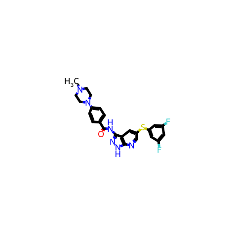 CN1CCN(c2ccc(C(=O)Nc3n[nH]c4ncc(Sc5cc(F)cc(F)c5)cc34)cc2)CC1